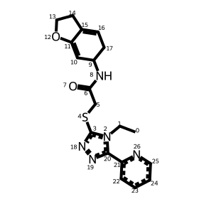 CCn1c(SCC(=O)NC2C=C3OCCC3=CC2)nnc1-c1ccccn1